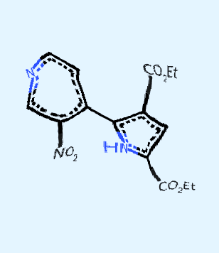 CCOC(=O)c1cc(C(=O)OCC)c(-c2ccncc2[N+](=O)[O-])[nH]1